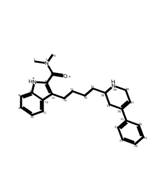 CN(C)C(=O)c1[nH]c2ccccc2c1CCCCC1CC(c2ccccc2)=CCN1